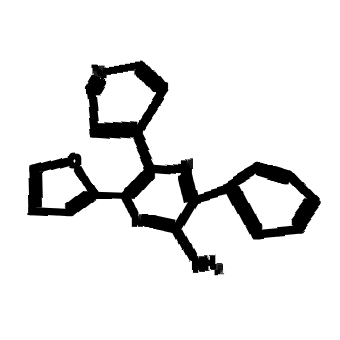 Nc1nc(-c2ccco2)c(-c2ccncc2)nc1-c1ccccc1